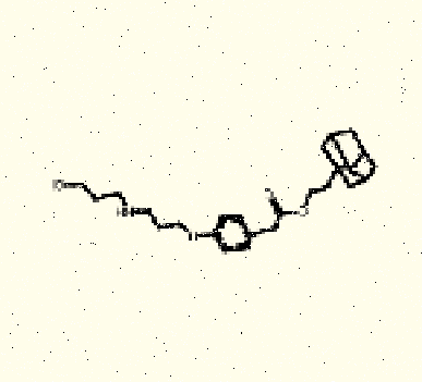 O=C(Cc1ccc(OCCCNCCCO)cc1)OCCC12CC3CC(CC(C3)C1)C2